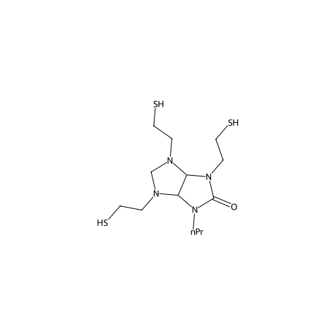 CCCN1C(=O)N(CCS)C2C1N(CCS)CN2CCS